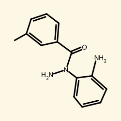 Cc1cccc(C(=O)N(N)c2ccccc2N)c1